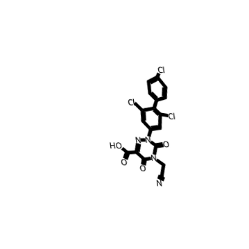 N#CCn1c(=O)c(C(=O)O)nn(-c2cc(Cl)c(-c3ccc(Cl)cc3)c(Cl)c2)c1=O